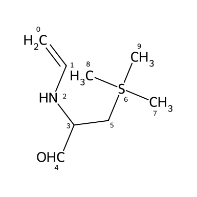 C=CNC(C=O)CS(C)(C)C